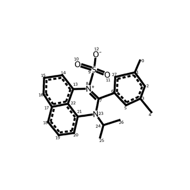 Cc1cc(C)cc(C2=[N+](S(=O)(=O)[O-])c3cccc4cccc(c34)N2C(C)C)c1